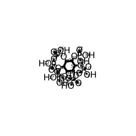 O=P(O)(O)OC1C(OP(=O)(O)O)C(OP(=O)(O)O)C2OP(=O)(O)OP(=O)(O)OC2C1OP(=O)(O)O